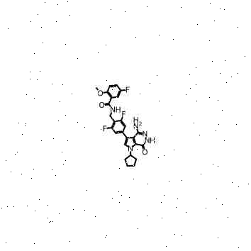 COc1ccc(F)cc1C(=O)NCc1c(F)cc(-c2cn(C3CCCC3)c3c(=O)[nH]nc(N)c23)cc1F